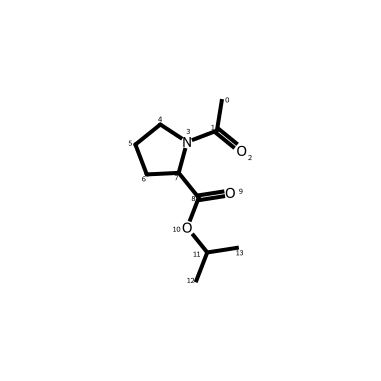 CC(=O)N1CCCC1C(=O)OC(C)C